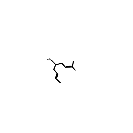 CC=CCC(CC=C(C)C)CCC